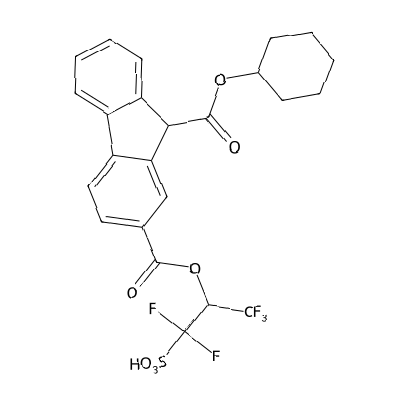 O=C(OC(C(F)(F)F)C(F)(F)S(=O)(=O)O)c1ccc2c(c1)C(C(=O)OC1CCCCC1)c1ccccc1-2